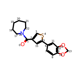 O=C(c1csc(-c2ccc3c(c2)OCO3)c1)N1CCCCCC1